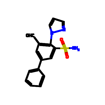 NS(=O)(=O)c1cc(-c2ccccc2)cc(C=O)c1-n1cccn1